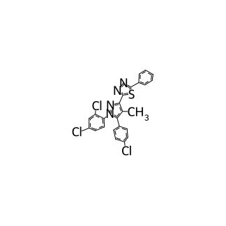 Cc1c(-c2nnc(-c3ccccc3)s2)nn(-c2ccc(Cl)cc2Cl)c1-c1ccc(Cl)cc1